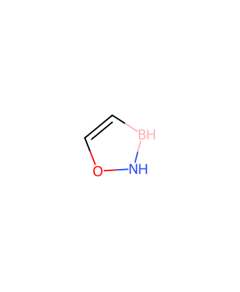 B1C=CON1